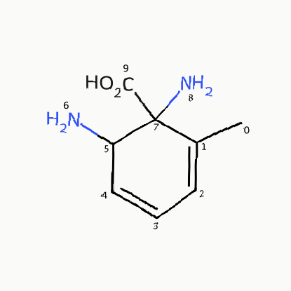 CC1=CC=CC(N)C1(N)C(=O)O